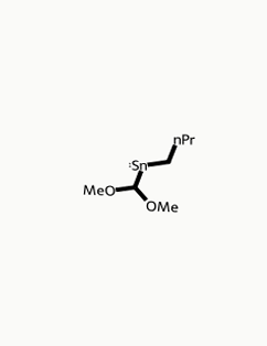 CCC[CH2][Sn][CH](OC)OC